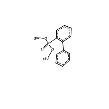 CC(C)(C)OP(=O)(OC(C)(C)C)c1ccccc1-c1ccccc1